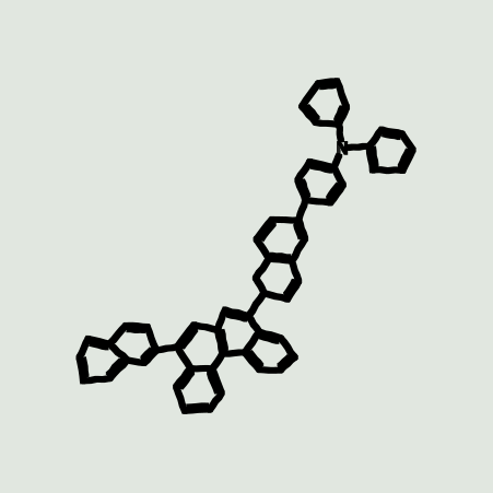 C1=CC(c2cc3cc(-c4ccc5ccccc5c4)c4ccccc4c3c3ccccc23)Cc2ccc(-c3ccc(N(c4ccccc4)c4ccccc4)cc3)cc21